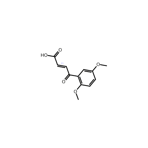 COc1ccc(OC)c(C(=O)/C=C/C(=O)O)c1